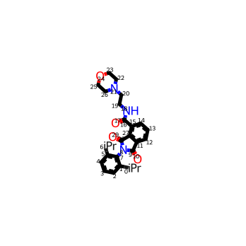 CC(C)c1cccc(C(C)C)c1N1C(=O)c2cccc(C(=O)NCCN3CCOCC3)c2C1=O